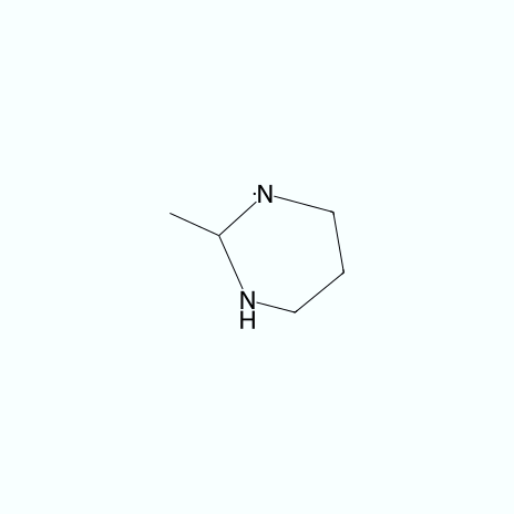 CC1[N]CCCN1